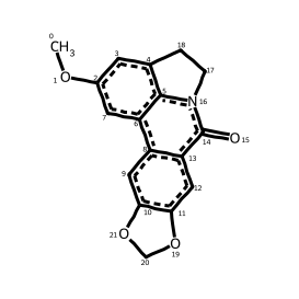 COc1cc2c3c(c1)c1cc4c(cc1c(=O)n3CC2)OCO4